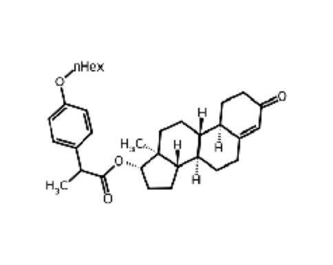 CCCCCCOc1ccc(C(C)C(=O)O[C@H]2CC[C@H]3[C@@H]4CCC5=CC(=O)CC[C@@H]5[C@H]4CC[C@]23C)cc1